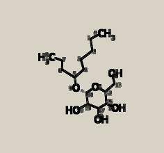 CCCCCC(CCC)O[C@@H]1OC(CO)[C@@H](O)C(O)C1O